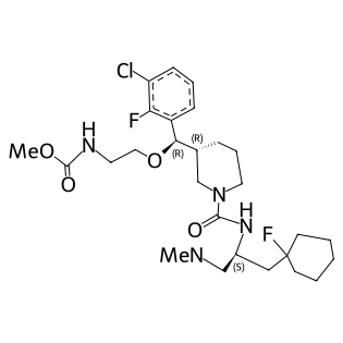 CNC[C@H](CC1(F)CCCCC1)NC(=O)N1CCC[C@@H]([C@@H](OCCNC(=O)OC)c2cccc(Cl)c2F)C1